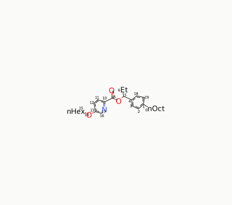 CCCCCCCCc1ccc(C(CC)OC(=O)c2ccc(OCCCCCC)cn2)cc1